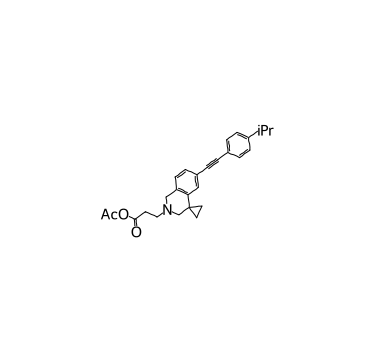 CC(=O)OC(=O)CCN1Cc2ccc(C#Cc3ccc(C(C)C)cc3)cc2C2(CC2)C1